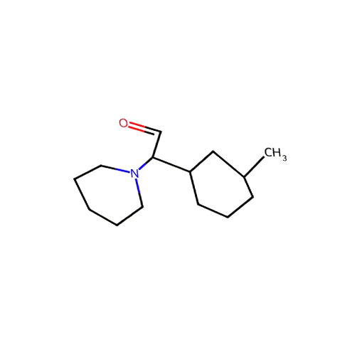 CC1CCCC(C(C=O)N2CCCCC2)C1